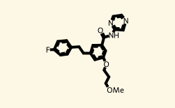 COCCCOc1cc(CCc2ccc(F)cc2)cc(C(=O)Nc2cnccn2)c1